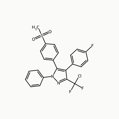 CS(=O)(=O)c1ccc(-c2c(-c3ccc(F)cc3)c(C(F)(F)Cl)nn2-c2ccccc2)cc1